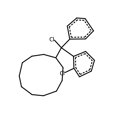 Clc1ccccc1C(Cl)(c1ccccc1)C1CCCCCCCCCC1